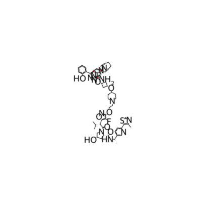 Cc1ncsc1-c1ccc([C@H](C)NC(=O)[C@@H]2C[C@@H](O)CN2C(=O)[C@@H](c2onc(OCCN3CCC(O[C@H]4C[C@H](Oc5cc(N6C7CCC6CN(c6cc(-c8ccccc8O)nnc6N)C7)ccn5)C4)CC3)c2F)C(C)C)cn1